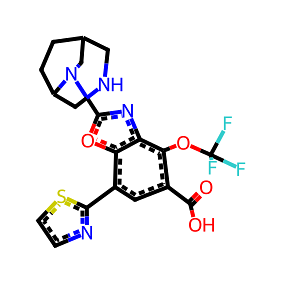 O=C(O)c1cc(-c2nccs2)c2oc(N3CC4CCC3CNC4)nc2c1OC(F)(F)F